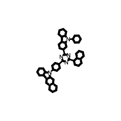 c1ccc(-n2c3ccccc3c3ccc(-c4nc(-c5ccc(-n6c7ccccc7c7cc8ccccc8cc76)cc5)nc(-c5cccc6ccccc56)n4)cc32)cc1